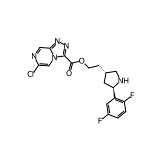 O=C(OCC[C@@H]1CN[C@@H](c2cc(F)ccc2F)C1)c1nnc2cnc(Cl)cn12